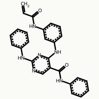 C=CC(=O)Nc1cccc(Nc2nc(Nc3ccccc3)ncc2C(=O)Nc2ccccc2)c1